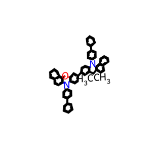 CC1(C)c2cc(-c3ccc4c(c3)Oc3c(ccc5ccccc35)N4c3ccc(-c4ccccc4)cc3)ccc2N(c2ccc(-c3ccccc3)cc2)c2c1ccc1ccccc21